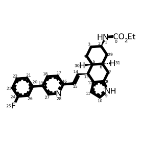 CCOC(=O)N[C@@H]1CC[C@@H]2[C@H](Cc3[nH]ccc3[C@H]2/C=C/c2ccc(-c3cccc(F)c3)cn2)C1